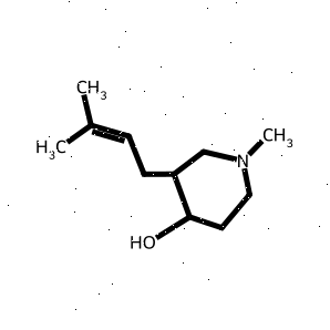 CC(C)=CCC1CN(C)CCC1O